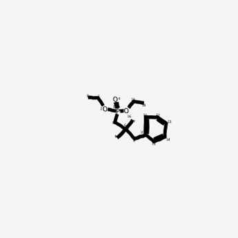 CCOP(=O)(CC(C)(C)Cc1ccccc1)OCC